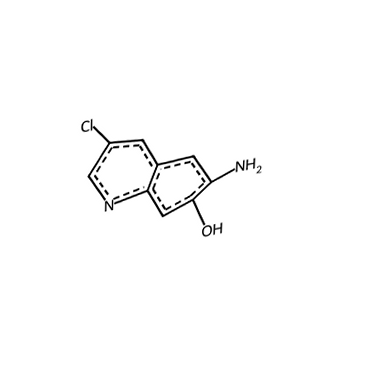 Nc1cc2cc(Cl)cnc2cc1O